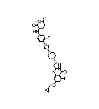 O=C1CCC(Nc2ccc(N3CC(N4CCC(SCc5nc6cc(OCC7CC7)cc(F)c6c(=O)[nH]5)CC4)C3)c(F)c2)C(=O)N1